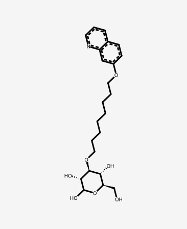 OC[C@H]1OC(O)[C@H](O)[C@@H](OCCCCCCCCOc2ccc3cccnc3c2)[C@@H]1O